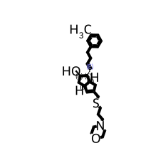 Cc1cccc(CC/C=C/[C@@H]2[C@H]3CC(CSCCCN4CCOCC4)=C[C@H]3C[C@H]2O)c1